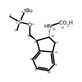 CC(C)(C)[Si](C)(C)OC[C@@H]1c2ccccc2C[C@H]1NC(=O)O